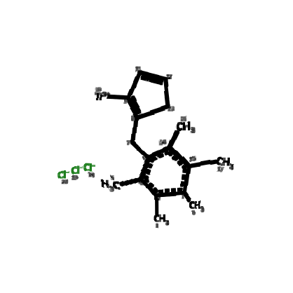 Cc1c(C)c(C)c(CC2=[C]([Ti+3])C=CC2)c(C)c1C.[Cl-].[Cl-].[Cl-]